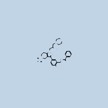 CS(=O)(=O)N1CCc2c(c(-c3ccc(Cl)c(CNC(=O)c4ccccc4)c3)nn2CC(O)CN2CCOCC2)C1